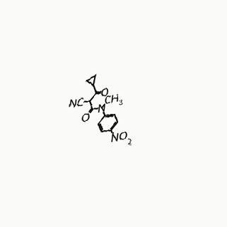 CN(C(=O)C(C#N)C(=O)C1CC1)c1ccc([N+](=O)[O-])cc1